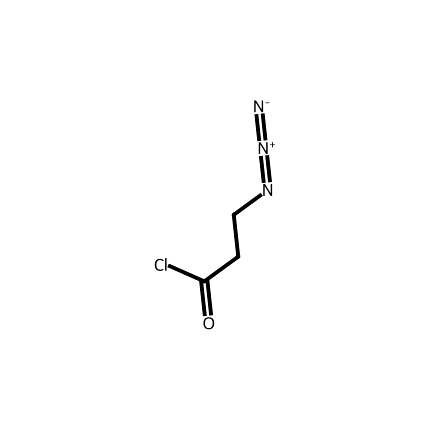 [N-]=[N+]=NCCC(=O)Cl